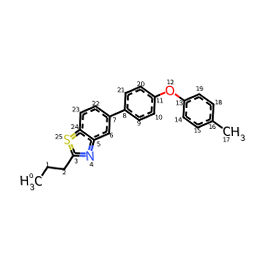 CCCc1nc2cc(-c3ccc(Oc4ccc(C)cc4)cc3)ccc2s1